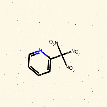 O=[N+]([O-])C(c1ccccn1)([N+](=O)[O-])[N+](=O)[O-]